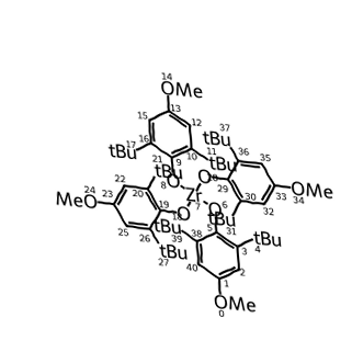 COc1cc(C(C)(C)C)c([O][Zr]([O]c2c(C(C)(C)C)cc(OC)cc2C(C)(C)C)([O]c2c(C(C)(C)C)cc(OC)cc2C(C)(C)C)[O]c2c(C(C)(C)C)cc(OC)cc2C(C)(C)C)c(C(C)(C)C)c1